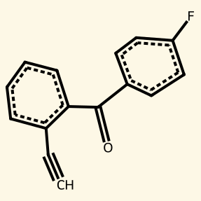 C#Cc1ccccc1C(=O)c1ccc(F)cc1